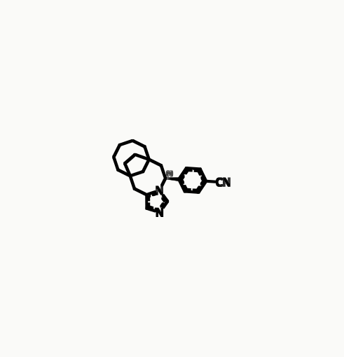 N#Cc1ccc([C@@H]2CC34CCCCCC(CC3)(Cc3cncn32)C4)cc1